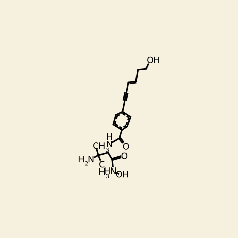 CC(C)(N)[C@H](NC(=O)c1ccc(C#C/C=C/CCO)cc1)C(=O)NO